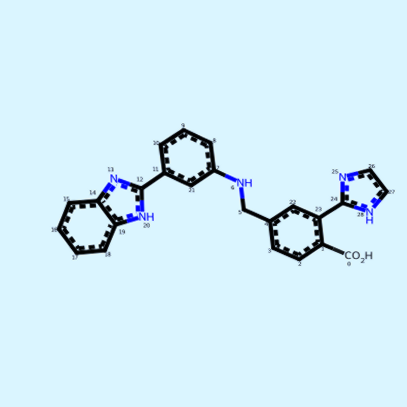 O=C(O)c1ccc(CNc2cccc(-c3nc4ccccc4[nH]3)c2)cc1-c1ncc[nH]1